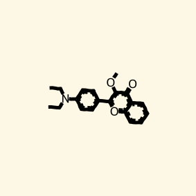 CCN(CC)c1ccc(-c2oc3ccccc3c(=O)c2OC)cc1